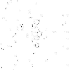 O=C(O)Oc1cnn(-c2nc3cc(Cl)c(Oc4cccc5ccccc45)cc3c(=O)[nH]2)c1